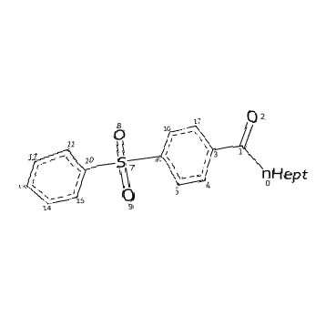 CCCCCCCC(=O)c1ccc(S(=O)(=O)c2ccccc2)cc1